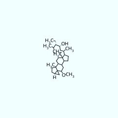 CC[C@@H](C(C)C)[C@H](O)C[C@@H](C)C1CCC2C3C[C@@H](OC)C45C[C@H]4CC[C@]5(C)C3CC[C@@]21C